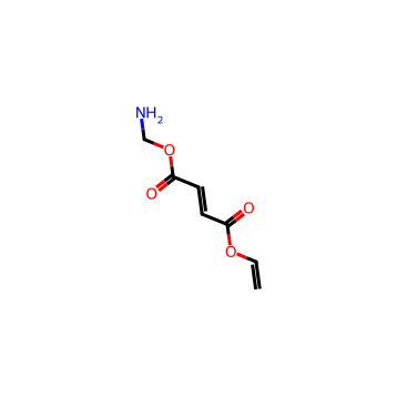 C=COC(=O)/C=C/C(=O)OCN